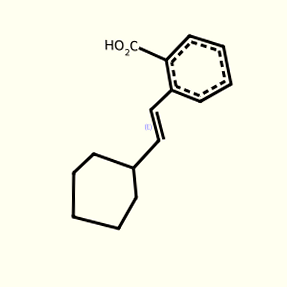 O=C(O)c1ccccc1/C=C/C1CCCCC1